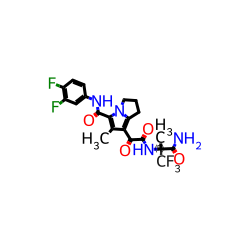 Cc1c(C(=O)C(=O)N[C@](C)(C(N)=O)C(F)(F)F)c2n(c1C(=O)Nc1ccc(F)c(F)c1)CCC2